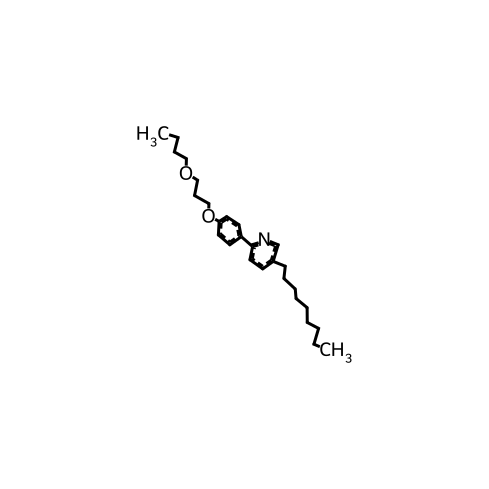 CCCCCCCCCc1ccc(-c2ccc(OCCCOCCCC)cc2)nc1